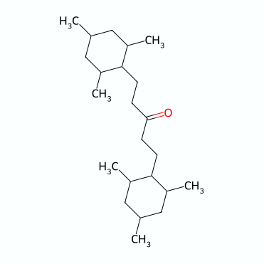 CC1CC(C)C(CCC(=O)CCC2C(C)CC(C)CC2C)C(C)C1